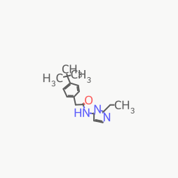 CCc1nccc(NC(=O)Cc2ccc(C(C)(C)C)cc2)n1